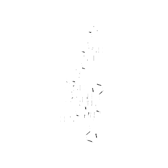 NC(=O)CCC(N)C(=O)NCC(=O)NCC(=O)NC(CO)C(=O)NC(CC(N)=O)C(=O)NC(Cc1ccccc1)C(=O)NCCc1ccccc1